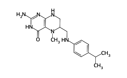 CC(C)c1ccc(NCC2CNc3nc(N)[nH]c(=O)c3N2C)cc1